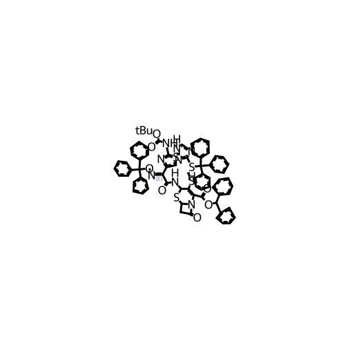 CC(C)(C)OC(=O)Nc1nc(/C(=N\OC(c2ccccc2)(c2ccccc2)c2ccccc2)C(=O)NC2SC3CC(=O)N3C(C(=O)OC(c3ccccc3)c3ccccc3)=C2SC[SH](c2nc[nH]n2)C(c2ccccc2)(c2ccccc2)c2ccccc2)cs1